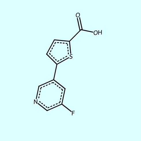 O=C(O)c1ccc(-c2cncc(F)c2)s1